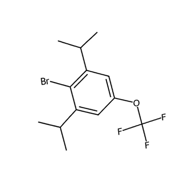 CC(C)c1cc(OC(F)(F)F)cc(C(C)C)c1Br